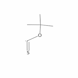 CC(C)(C)O[C]=S